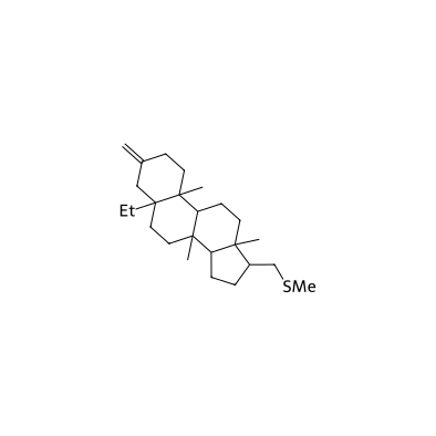 C=C1CCC2(C)C3CCC4(C)C(CSC)CCC4C3(C)CCC2(CC)C1